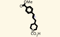 COC(=O)c1ccc(/C=C/CC2CCN(C(=O)O)CC2)cc1